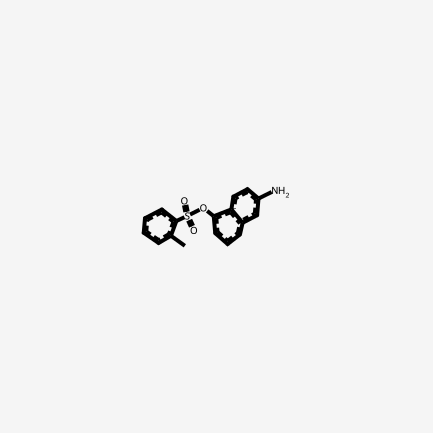 Cc1ccccc1S(=O)(=O)Oc1cccc2cc(N)ccc12